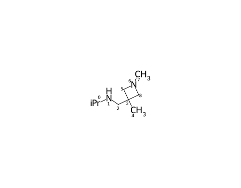 CC(C)NCC1(C)CN(C)C1